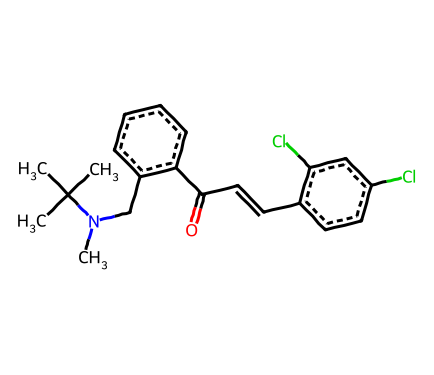 CN(Cc1ccccc1C(=O)C=Cc1ccc(Cl)cc1Cl)C(C)(C)C